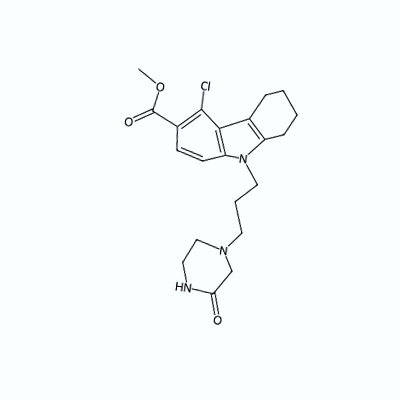 COC(=O)c1ccc2c(c1Cl)c1c(n2CCCN2CCNC(=O)C2)CCCC1